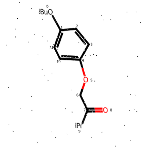 CC(C)COc1ccc(OCC(=O)C(C)C)cc1